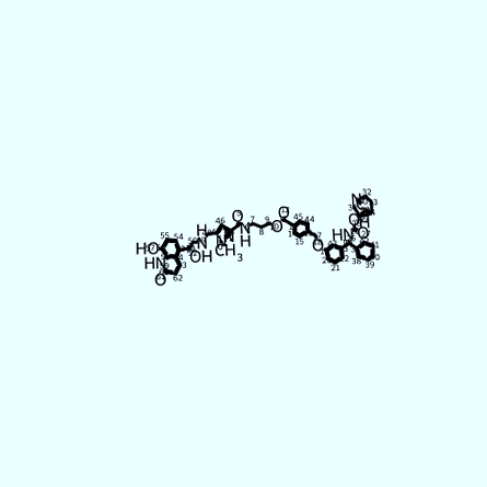 Cn1nc(C(=O)NCCCOC(=O)c2ccc(COc3cccc([C@@H](NC(=O)O[C@H]4CN5CCC4CC5)c4ccccc4)c3)cc2)cc1CNC[C@H](O)c1ccc(O)c2[nH]c(=O)ccc12